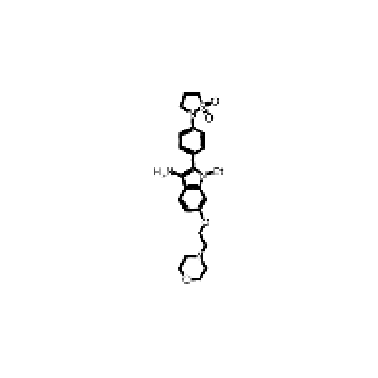 CCn1c(-c2ccc(N3CCCS3(=O)=O)cc2)c(N)c2ccc(OCCN3CCOCC3)cc21